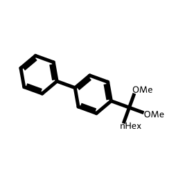 CCCCCCC(OC)(OC)c1ccc(-c2ccccc2)cc1